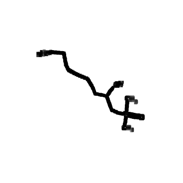 CCCCCCCCCCC(O)CP(C)(C)=O